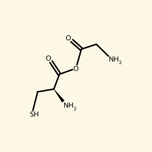 NCC(=O)OC(=O)[C@@H](N)CS